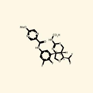 COc1cnc(C(=O)Nc2cc(F)c(F)c([C@]34CO[C@H](C(F)F)[C@H]3CSC(NC(=O)O)=N4)c2)cn1